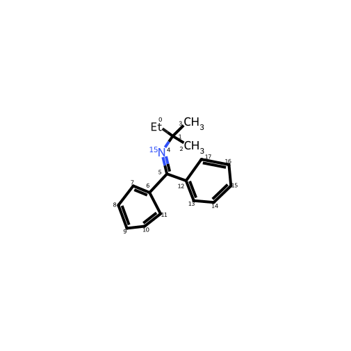 CCC(C)(C)[15N]=C(c1ccccc1)c1ccccc1